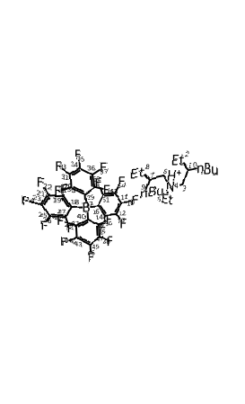 CCCCC(CC)C[NH+](CC)CC(CC)CCCC.Fc1c(F)c(F)c([B-](c2c(F)c(F)c(F)c(F)c2F)(c2c(F)c(F)c(F)c(F)c2F)c2c(F)c(F)c(F)c(F)c2F)c(F)c1F